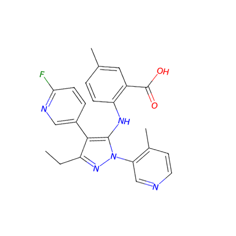 CCc1nn(-c2cnccc2C)c(Nc2ccc(C)cc2C(=O)O)c1-c1ccc(F)nc1